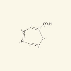 O=C(O)C1=CN=NC=CC1